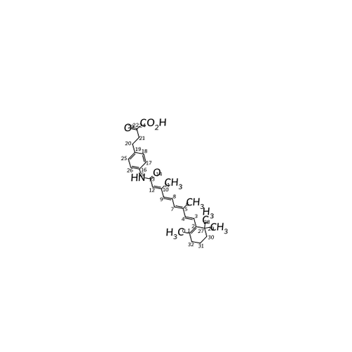 CC1=C(/C=C/C(C)=C/C=C/C(C)=C/C(=O)Nc2ccc(CCC(=O)C(=O)O)cc2)C(C)(C)CCC1